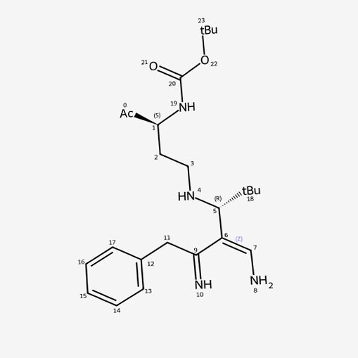 CC(=O)[C@H](CCN[C@@H](/C(=C/N)C(=N)Cc1ccccc1)C(C)(C)C)NC(=O)OC(C)(C)C